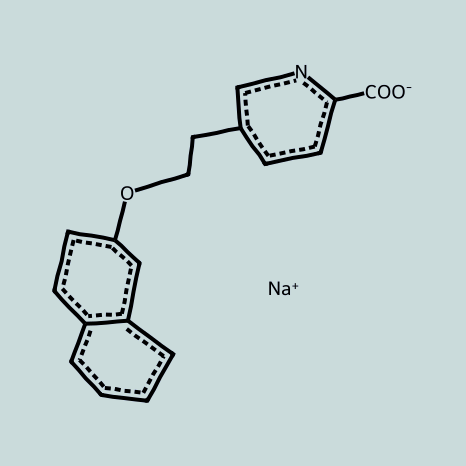 O=C([O-])c1ccc(CCOc2ccc3ccccc3c2)cn1.[Na+]